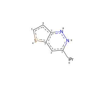 CC(C)c1cc2sccc2nn1